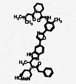 C#CCC(CNC)N(C(=O)Cc1ccccc1)[C@@H](C)c1nc2ccc(-c3cnc(-c4ccc(C)c(NC(=O)[C@@H]5CCCCN5C(=O)CN(C)C)c4)o3)cc2[nH]1